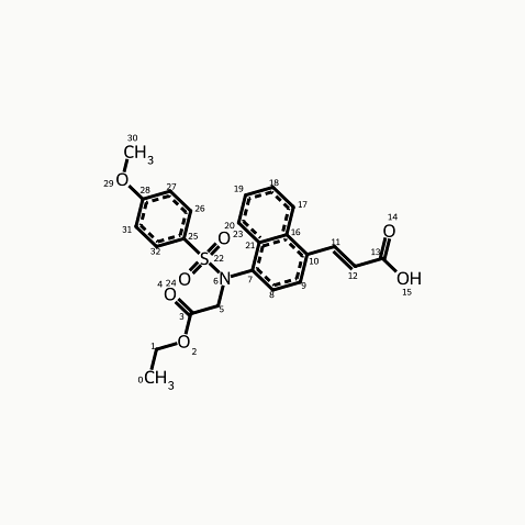 CCOC(=O)CN(c1ccc(/C=C/C(=O)O)c2ccccc12)S(=O)(=O)c1ccc(OC)cc1